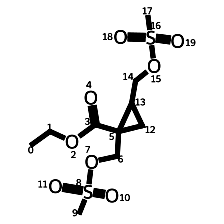 CCOC(=O)C1(COS(C)(=O)=O)CC1COS(C)(=O)=O